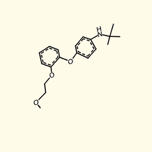 COCCOc1ccccc1Oc1ccc(NC(C)(C)C)cc1